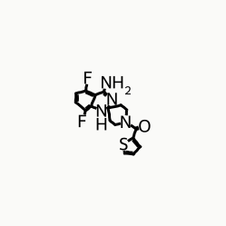 NC1=NC2(CCN(C(=O)c3cccs3)CC2)Nc2c(F)ccc(F)c21